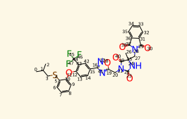 CC(C)CSc1ccccc1Oc1ccc(-c2noc(CN3C(=O)NC(C)(CN4C(=O)c5ccccc5C4=O)C3=O)n2)cc1C(F)(F)F